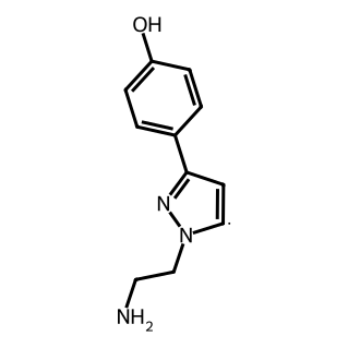 NCCn1[c]cc(-c2ccc(O)cc2)n1